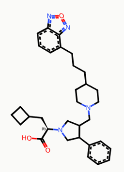 O=C(O)[C@@H](CC1CCC1)N1CC(CN2CCC(CCCc3cccc4nonc34)CC2)C(c2ccccc2)C1